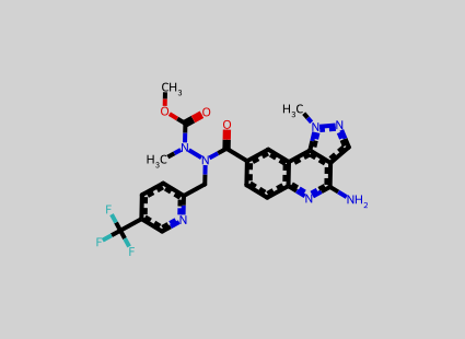 COC(=O)N(C)N(Cc1ccc(C(F)(F)F)cn1)C(=O)c1ccc2nc(N)c3cnn(C)c3c2c1